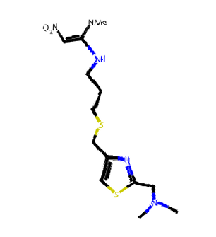 CNC(=C[N+](=O)[O-])NCCCSCc1csc(CN(C)C)n1